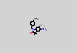 COc1ccc(CN2C(=O)C(C)(C)c3cc(N)c([N+](=O)[O-])cc32)cc1